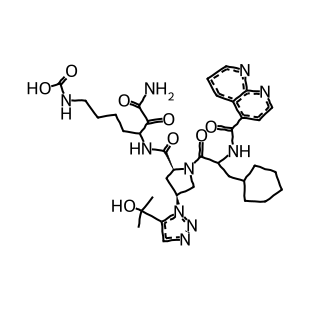 CC(C)(O)c1cnnn1[C@H]1C[C@@H](C(=O)NC(CCCCNC(=O)O)C(=O)C(N)=O)N(C(=O)C(CC2CCCCC2)NC(=O)c2ccnc3ncccc23)C1